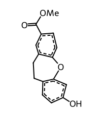 COC(=O)c1ccc2c(c1)CCc1ccc(O)cc1O2